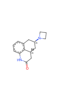 O=C1C[C@@H]2C[C@H](N3CCC3)Cc3cccc(c32)N1